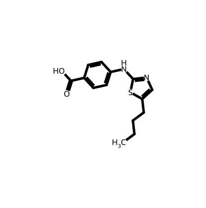 CCCCc1cnc(Nc2ccc(C(=O)O)cc2)s1